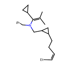 CC/C=C\CCC1CC1CN(CC(C)C)C(=C(C)C)C1CC1